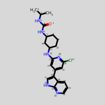 CC(C)NC(=O)NC1CCCC(Nc2cc(-c3c[nH]c4ncccc34)cc(Cl)n2)C1